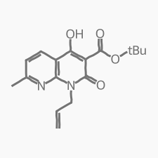 C=CCn1c(=O)c(C(=O)OC(C)(C)C)c(O)c2ccc(C)nc21